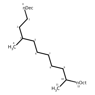 CCCCCCCCCCCCC(C)CCCCCC(C)CCCCCCCC